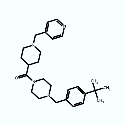 CC(C)(C)c1ccc(CN2CCN(C(=O)C3CCN(Cc4ccncc4)CC3)CC2)cc1